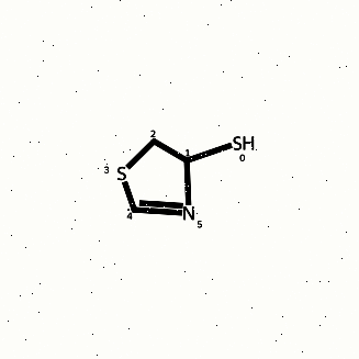 SC1CS[C]=N1